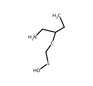 CCC(CN)CCSO